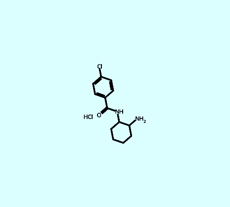 Cl.NC1CCCCC1NC(=O)c1ccc(Cl)cc1